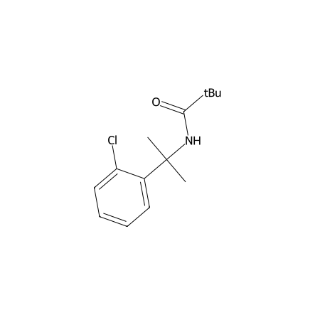 CC(C)(C)C(=O)NC(C)(C)c1ccccc1Cl